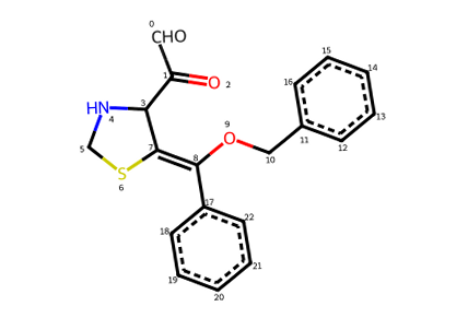 O=CC(=O)C1NCSC1=C(OCc1ccccc1)c1ccccc1